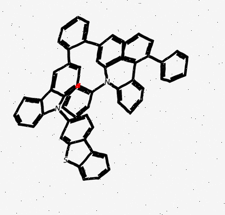 c1ccc(-c2ccccc2-c2ccccc2N(c2ccccc2)c2cccc(-c3ccccc3-c3ccc4c(c3)c3ccccc3n4-c3ccc4c(c3)sc3ccccc34)c2)cc1